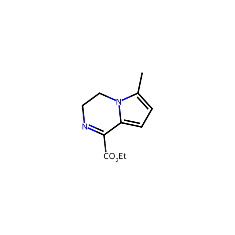 CCOC(=O)C1=NCCn2c(C)ccc21